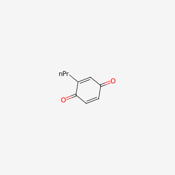 [CH2]CCC1=CC(=O)C=CC1=O